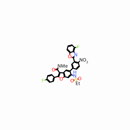 CCS(=O)(=O)Nc1cc2oc(-c3ccc(F)cc3)c(C(=O)NC)c2cc1-c1ccc([N+](=O)[O-])c(-c2nc3c(F)cccc3o2)c1